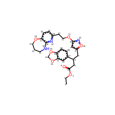 CCOC(=O)CC(Cc1cc(OCCc2ccc3c(n2)NCCCO3)no1)c1ccc2c(c1)OCO2